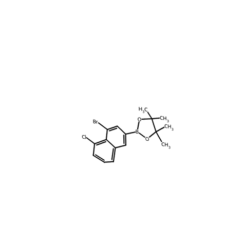 CC1(C)OB(c2cc(Br)c3c(Cl)cccc3c2)OC1(C)C